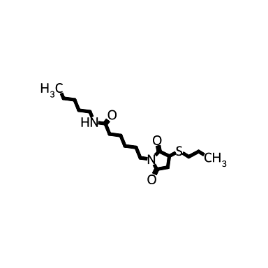 CCCCCNC(=O)CCCCCN1C(=O)CC(SCCC)C1=O